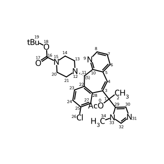 CC(=O)OC(C)(C1=Cc2cccnc2[C@@H](N2CCN(C(=O)OC(C)(C)C)CC2)c2ccc(Cl)cc21)c1cncn1C